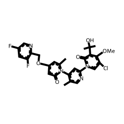 COc1c(Cl)cn(-c2cc(-n3c(C)cc(OCc4ncc(F)cc4F)cc3=O)c(C)cn2)c(=O)c1C(C)(C)O